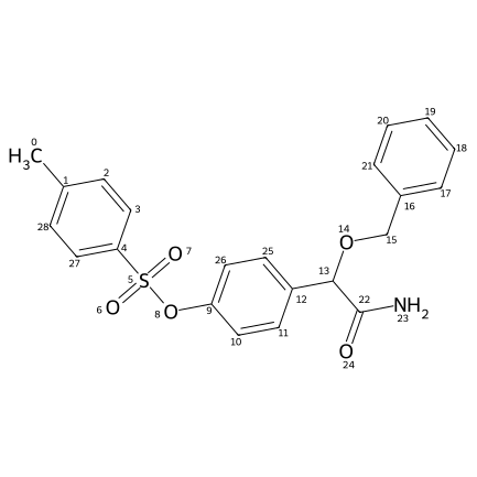 Cc1ccc(S(=O)(=O)Oc2ccc(C(OCc3ccccc3)C(N)=O)cc2)cc1